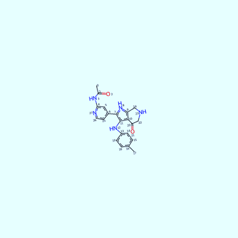 CC(=O)Nc1cc(-c2[nH]c3c(c2Nc2ccc(C)cc2)C(=O)CNC3)ccn1